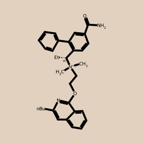 CCCCc1cc2ccccc2c(OCC[N+](C)(C)[C@H](CC)c2ccc(C(N)=O)cc2-c2ccccc2)n1